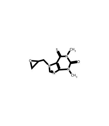 Cn1c(=S)c2c(ncn2CC2CO2)n(C)c1=O